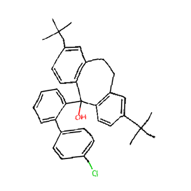 CC(C)(C)c1ccc2c(c1)CCc1cc(C(C)(C)C)ccc1C2(O)c1ccccc1-c1ccc(Cl)cc1